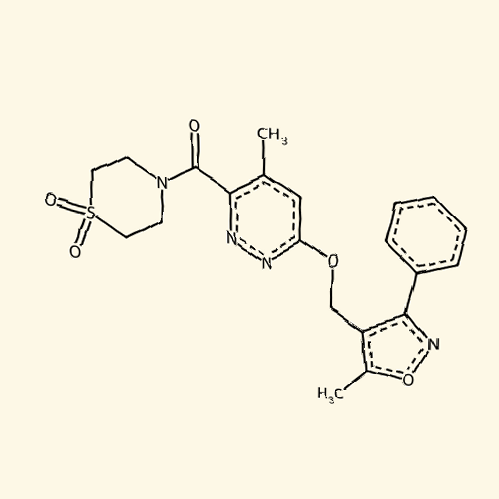 Cc1cc(OCc2c(-c3ccccc3)noc2C)nnc1C(=O)N1CCS(=O)(=O)CC1